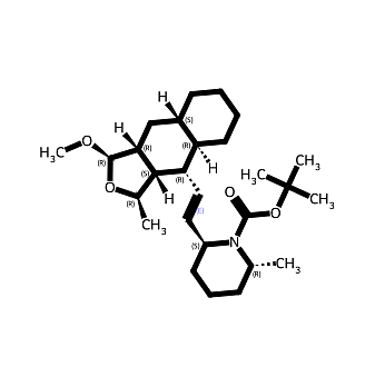 CO[C@@H]1O[C@H](C)[C@H]2[C@@H](/C=C/[C@@H]3CCC[C@@H](C)N3C(=O)OC(C)(C)C)[C@@H]3CCCC[C@H]3C[C@@H]12